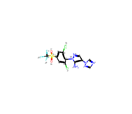 Nc1c(-n2cncn2)cnn1-c1c(Cl)cc(S(=O)(=O)C(F)(F)F)cc1Cl